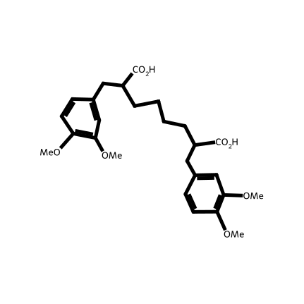 COc1ccc(CC(CCCCC(Cc2ccc(OC)c(OC)c2)C(=O)O)C(=O)O)cc1OC